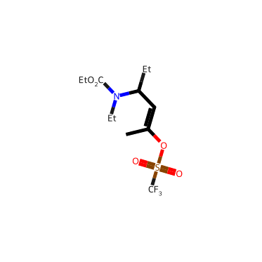 CCOC(=O)N(CC)C(/C=C(\C)OS(=O)(=O)C(F)(F)F)CC